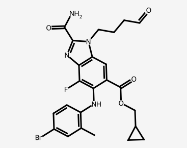 Cc1cc(Br)ccc1Nc1c(C(=O)OCC2CC2)cc2c(nc(C(N)=O)n2CCCC=O)c1F